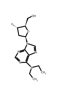 CCN(CC)c1ncnc2c1ncn2[C@H]1C[C@H](F)[C@@H](CO)O1